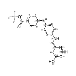 CC(C)(C)OC(=O)N1CCN(Sc2ccc(N/C=C(/CC(=O)O)N=N)cc2)CC1